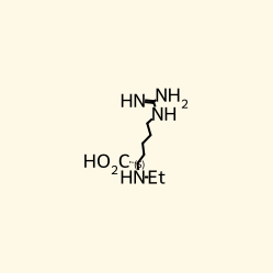 CCN[C@@H](CCCCNC(=N)N)C(=O)O